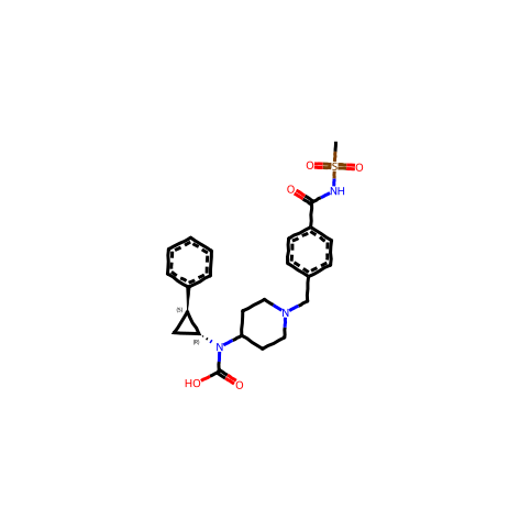 CS(=O)(=O)NC(=O)c1ccc(CN2CCC(N(C(=O)O)[C@@H]3C[C@H]3c3ccccc3)CC2)cc1